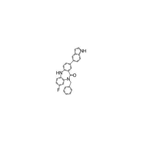 O=C1c2cc(-c3ccc4[nH]ccc4c3)ccc2Nc2ccc(F)cc2N1Cc1ccccc1